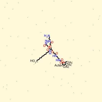 CC(=O)NC1C(OC(=O)NCCCNC(=O)CCOCC(COCCC(N)=O)(COCCC(=O)NCCCN)NC(=O)CCCCCCCCCCC(=O)O)OC(COC(C)=O)C(OC(C)=O)C1OC(C)=O